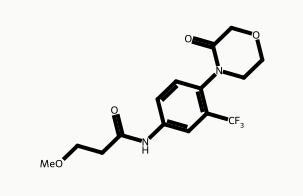 COCCC(=O)Nc1ccc(N2CCOCC2=O)c(C(F)(F)F)c1